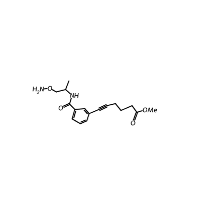 COC(=O)CCCC#Cc1cccc(C(=O)NC(C)CON)c1